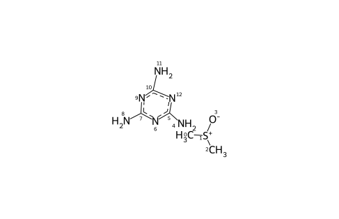 C[S+](C)[O-].Nc1nc(N)nc(N)n1